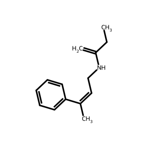 C=C(CC)NC/C=C(/C)c1ccccc1